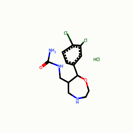 Cl.NC(=O)NCC1CNCCOC1c1ccc(Cl)c(Cl)c1